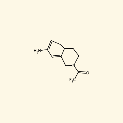 NC1=CCC2CCN(C(=O)C(F)(F)F)CC2=C1